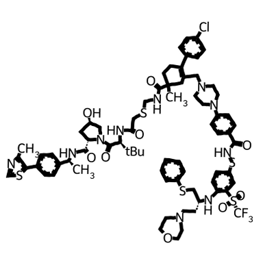 Cc1ncsc1-c1ccc([C@H](C)NC(=O)[C@@H]2C[C@@H](O)CN2C(=O)[C@@H](NC(=O)CSCNC(=O)C2(C)CCC(c3ccc(Cl)cc3)=C(CN3CCN(c4ccc(C(=O)NSc5ccc(N[C@H](CCN6CCOCC6)CSc6ccccc6)c(S(=O)(=O)C(F)(F)F)c5)cc4)CC3)C2)C(C)(C)C)cc1